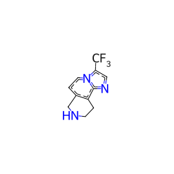 FC(F)(F)c1cnc2c3c(ccn12)CNCC3